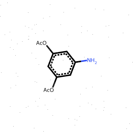 CC(=O)Oc1cc(N)cc(OC(C)=O)c1